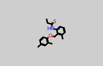 CCC(=S)Nc1cccc(C)c1COc1ccc(C)cc1C